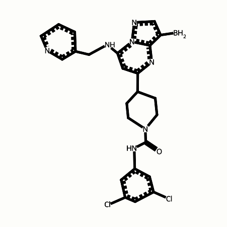 Bc1cnn2c(NCc3cccnc3)cc(C3CCN(C(=O)Nc4cc(Cl)cc(Cl)c4)CC3)nc12